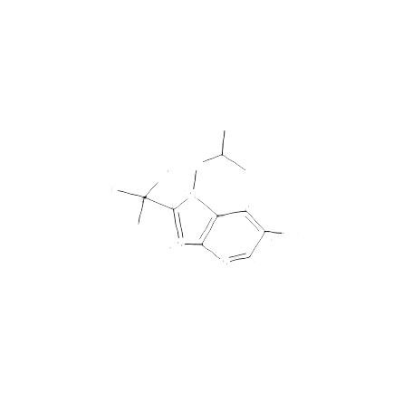 CC(C)On1c(C(F)(F)F)nc2ncc(Cl)cc21